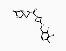 Cc1ccc(COC2CN(C(=O)[C@H]3C[C@@]4(COC(=O)N4)C3)C2)c(F)c1F